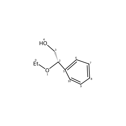 CCO[C@H](CO)c1ccccc1